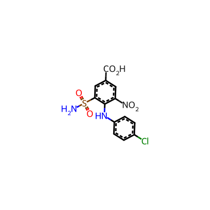 NS(=O)(=O)c1cc(C(=O)O)cc([N+](=O)[O-])c1Nc1ccc(Cl)cc1